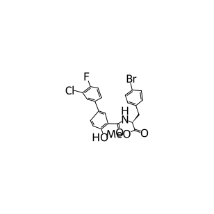 COC(=O)[C@H](Cc1ccc(Br)cc1)NC(=O)c1cc(-c2ccc(F)c(Cl)c2)ccc1O